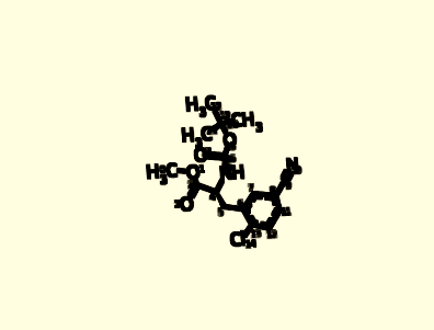 COC(=O)[C@H](Cc1cc(C#N)ccc1Cl)NC(=O)OC(C)(C)C